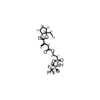 C=C(CC(=O)OCCS(=O)(=O)NS(=O)(=O)C(F)(F)F)C(=O)OC1(CC)CCCC1